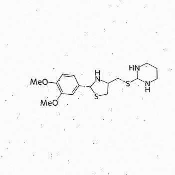 COc1ccc(C2NC(CSC3NCCCN3)CS2)cc1OC